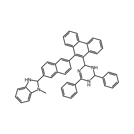 CN1c2ccccc2NC1c1ccc2cc(-c3c(C4N=C(c5ccccc5)NC(c5ccccc5)N4)c4ccccc4c4ccccc34)ccc2c1